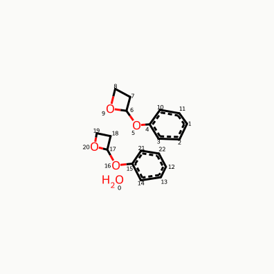 O.c1ccc(OC2CCO2)cc1.c1ccc(OC2CCO2)cc1